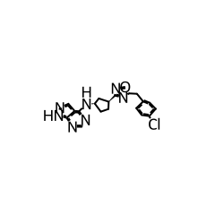 Clc1ccc(Cc2nc([C@H]3CC[C@H](Nc4ncnc5[nH]ncc45)C3)no2)cc1